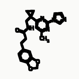 Cc1cc(C2(CNC(=O)CCc3ccc4c(c3)OCO4)CC2)nc(-n2ccnc2)n1